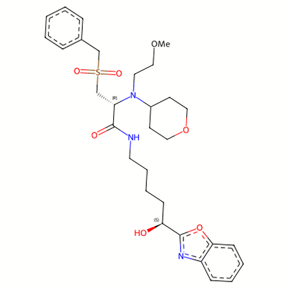 COCCN(C1CCOCC1)[C@@H](CS(=O)(=O)Cc1ccccc1)C(=O)NCCCC[C@H](O)c1nc2ccccc2o1